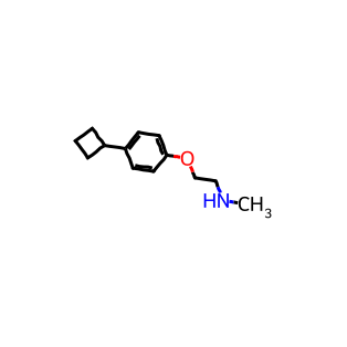 CNCCOc1ccc(C2CCC2)cc1